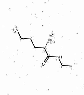 CCNC(=O)[C@@H](N)CCCN.Cl